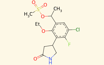 CCOc1c(C(C)OS(C)(=O)=O)cc(Cl)c(F)c1C1CNC(=O)C1